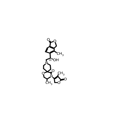 CC1=C(N2C(=O)C3(CCN(C[C@H](O)c4ccc5c(c4C)COC5=O)CC3)OCC2C)COC1=O